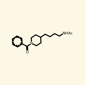 CC(=O)NCCCCC1CCN(C(=O)c2ccccc2)CC1